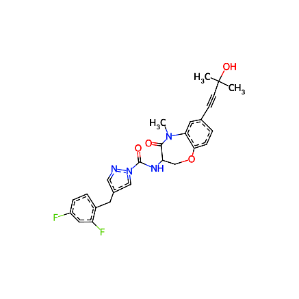 CN1C(=O)C(NC(=O)n2cc(Cc3ccc(F)cc3F)cn2)COc2ccc(C#CC(C)(C)O)cc21